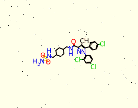 Cc1c(C(=O)NCC2CCC(CNS(N)(=O)=O)CC2)nn(-c2ccc(Cl)cc2Cl)c1-c1ccc(Cl)cc1